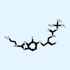 CCCNc1nc2ccc(OC/C(=C/F)CNC(=O)OC(C)(C)C)c(F)c2o1